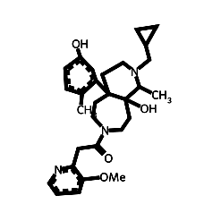 COc1cccnc1CC(=O)N1CCC2(c3cc(O)ccc3C)CCN(CC3CC3)C(C)C2(O)CC1